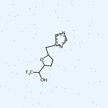 OC(C1CCC(Cn2cncn2)O1)C(F)(F)F